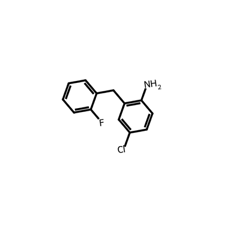 Nc1ccc(Cl)cc1Cc1ccccc1F